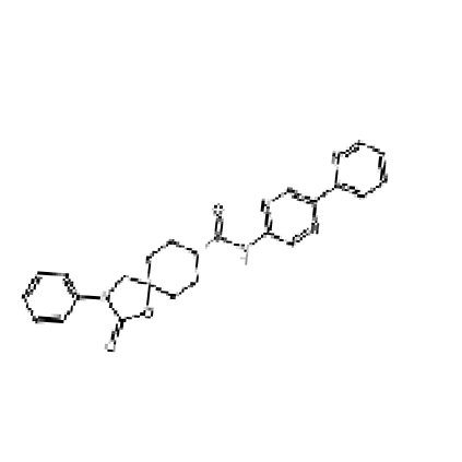 O=C1O[C@]2(CC[C@@H](C(=O)Nc3cnc(-c4ccccn4)cn3)CC2)CN1c1ccccc1